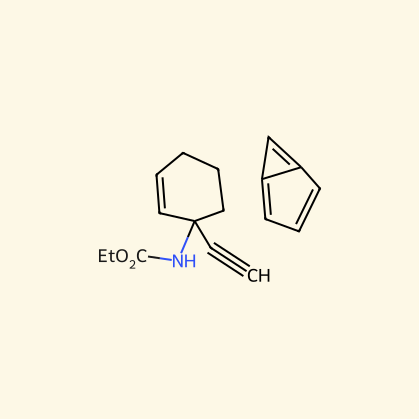 C#CC1(NC(=O)OCC)C=CCCC1.c1cc2cc-2c1